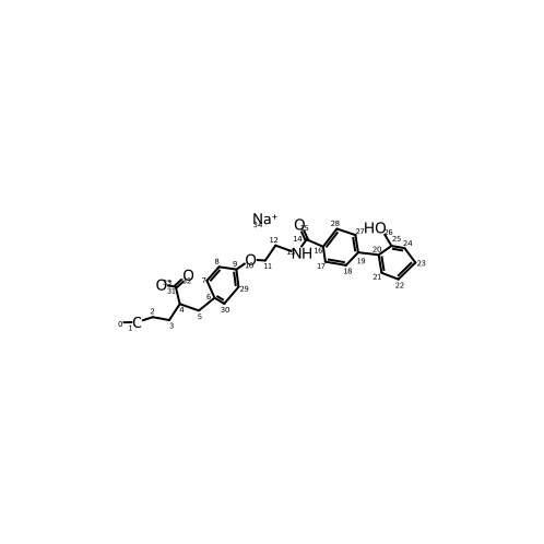 CCCCC(Cc1ccc(OCCNC(=O)c2ccc(-c3ccccc3O)cc2)cc1)C(=O)[O-].[Na+]